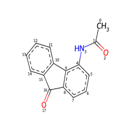 CC(=O)Nc1cccc2c1-c1ccccc1C2=O